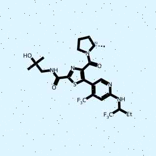 CCC(Nc1cc(C(F)(F)F)c(-c2sc(C(=O)NCC(C)(C)O)nc2C(=O)N2CCC[C@@H]2C)cn1)C(F)(F)F